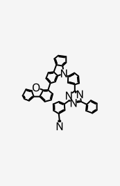 N#Cc1cccc(-c2nc(-c3ccccc3)nc(-c3cccc(-n4c5ccccc5c5ccc(-c6cccc7c6oc6ccccc67)cc54)c3)n2)c1